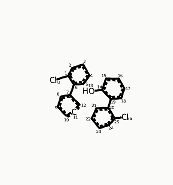 Clc1ccccc1-c1ccccc1.Oc1ccccc1-c1ccccc1Cl